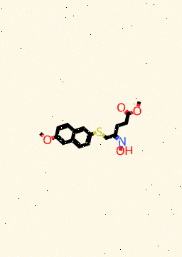 COC(=O)CC/C(CSc1ccc2cc(OC)ccc2c1)=N/O